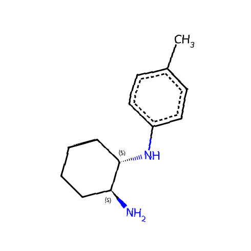 Cc1ccc(N[C@H]2CCCC[C@@H]2N)cc1